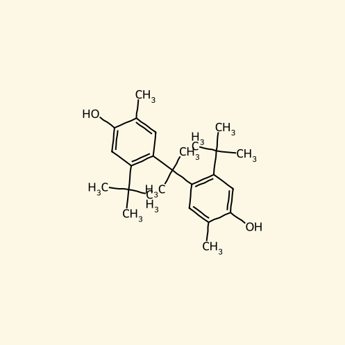 Cc1cc(C(C)(C)c2cc(C)c(O)cc2C(C)(C)C)c(C(C)(C)C)cc1O